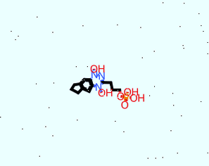 O=P(O)(O)OCCCC1=NN(O)c2cc3c(cc2N1O)CCC3